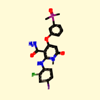 Cn1c(Nc2ccc(I)cc2F)c(C(N)=O)c(Oc2cccc(P(C)(C)=O)c2)cc1=O